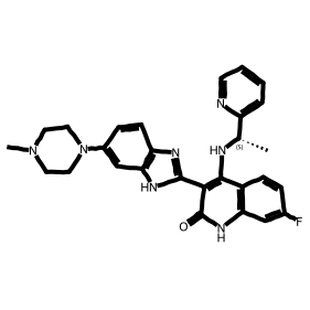 C[C@H](Nc1c(-c2nc3ccc(N4CCN(C)CC4)cc3[nH]2)c(=O)[nH]c2cc(F)ccc12)c1ccccn1